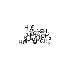 C=CCC1(CC=C)Oc2ccc(O)cc2C(=O)C1(CC=C)CC=C